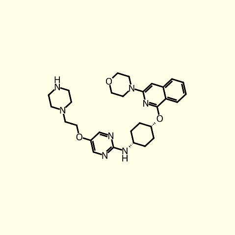 c1ccc2c(O[C@H]3CC[C@@H](Nc4ncc(OCCN5CCNCC5)cn4)CC3)nc(N3CCOCC3)cc2c1